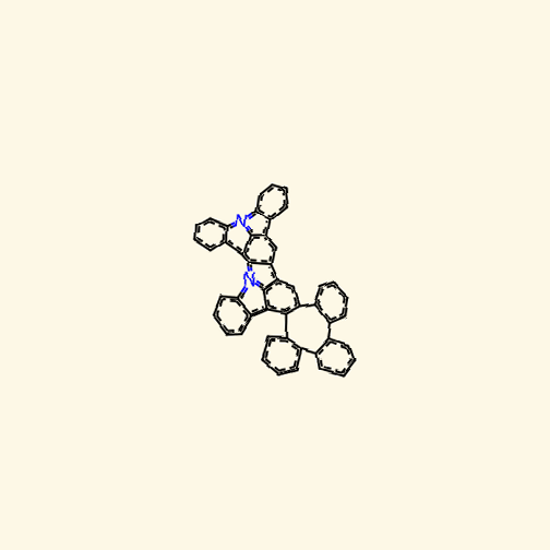 c1ccc2c(c1)-c1ccccc1-c1cc3c4cc5c6ccccc6n6c7ccccc7c(c56)c4n4c5ccccc5c(c1-c1ccccc1-2)c34